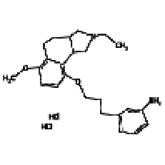 CCN1CC2CCc3c(OC)ccc(OCCCc4cccc(N)c4)c3C2C1.Cl.Cl